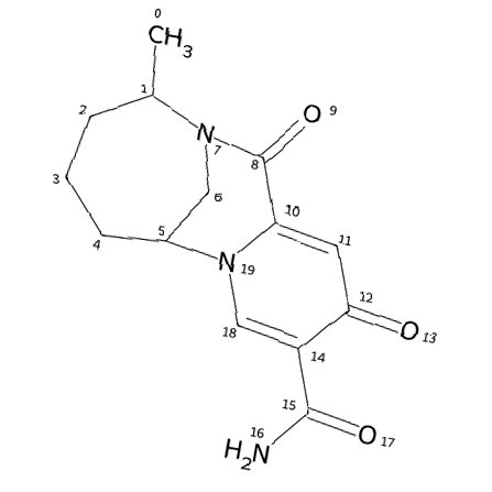 CC1CCCC2CN1C(=O)c1cc(=O)c(C(N)=O)cn12